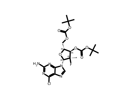 CC(C)(C)OC(=O)OC[C@H]1O[C@@H](n2cnc3c(Cl)nc(N)nc32)[C@](C)(F)[C@@H]1OC(=O)OC(C)(C)C